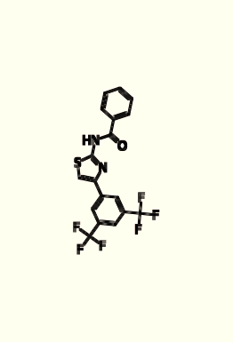 O=C(Nc1nc(-c2cc(C(F)(F)F)cc(C(F)(F)F)c2)cs1)c1ccccc1